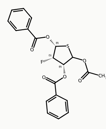 CC(=O)OC1S[C@@H](OC(=O)c2ccccc2)[C@@H](F)[C@H]1OC(=O)c1ccccc1